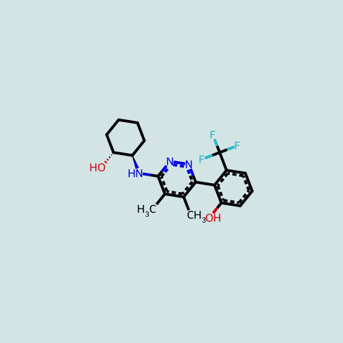 Cc1c(N[C@@H]2CCCC[C@H]2O)nnc(-c2c(O)cccc2C(F)(F)F)c1C